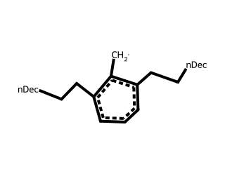 [CH2]c1c(CCCCCCCCCCCC)cccc1CCCCCCCCCCCC